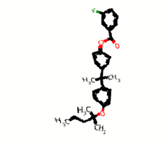 CCCC(C)(C)Oc1ccc(C(C)(C)c2ccc(OC(=O)c3cccc(F)c3)cc2)cc1